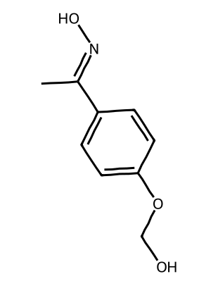 C/C(=N\O)c1ccc(OCO)cc1